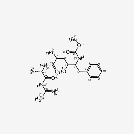 CCCC(CC(O)C(Cc1ccccc1)NC(=O)OC(C)(C)C)C(=O)N[C@H](C(=O)NC(=N)N)C(C)C